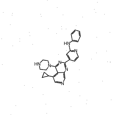 c1ccc(Nc2cc(-c3nc(N4CCNCC4)c4c(C5CC5)cncc4n3)ccn2)cc1